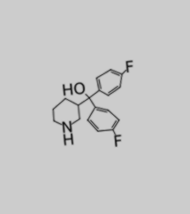 OC(c1ccc(F)cc1)(c1ccc(F)cc1)C1CCCNC1